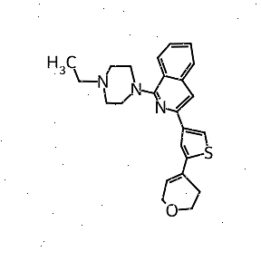 CCN1CCN(c2nc(-c3csc(C4=CCOCC4)c3)cc3ccccc23)CC1